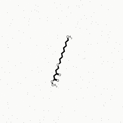 CCCCCCCCCCOCCC(=O)CC(=O)OC